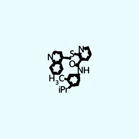 Cc1cc(NC(=O)c2cccnc2SCc2ccnc3ccccc23)ccc1C(C)C